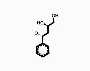 OC[C@H](O)C[C@@H](O)c1ccccc1